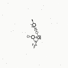 C#Cc1ccc(N2CC3(CC(c4nnc5n4-c4ccc(Cl)cc4CN(C4CC4(F)F)C5)C3)C2)nc1C